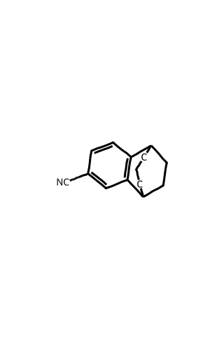 N#Cc1ccc2c(c1)C1CCCC2CC1